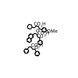 COc1ccc(C(=O)CC(CC2CCCCC2)C(=O)O)cc1.O=C(CC(Cc1ccc2ccccc2c1)C(=O)O)c1ccccc1.O=C(CC(Cc1ccccc1)C(=O)O)c1ccccc1